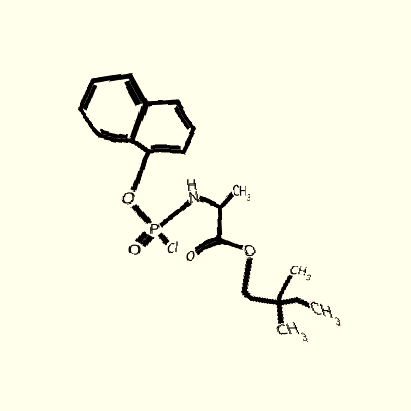 CC(NP(=O)(Cl)Oc1cccc2ccccc12)C(=O)OCC(C)(C)C